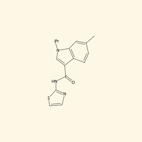 Cc1ccc2c(C(=O)Nc3nccs3)cn(C(C)C)c2c1